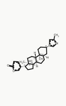 Cc1cn([C@H]2CC[C@@]3(C)[C@H](CC[C@@H]4[C@@H]3CC[C@]3(C)[C@@H](c5ccc(=O)oc5)CC[C@]43O)C2)cn1